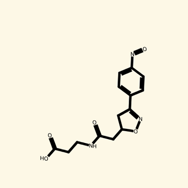 O=Nc1ccc(C2=NOC(CC(=O)NCCC(=O)O)C2)cc1